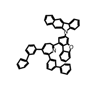 C1=C(c2cccc(-c3ccccc3)c2)C=C(c2cccc(-c3ccccc3)c2)N=C(c2cc(-n3c4ccccc4c4cc5ccccc5cc43)cc3oc4ccccc4c23)C1